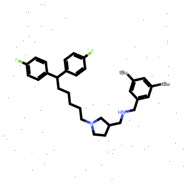 CC(C)(C)c1cc(CNCC2CCN(CCCCCC(c3ccc(F)cc3)c3ccc(F)cc3)C2)cc(C(C)(C)C)c1